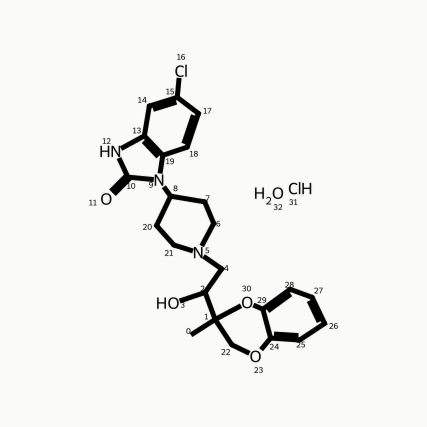 CC1(C(O)CN2CCC(n3c(=O)[nH]c4cc(Cl)ccc43)CC2)COc2ccccc2O1.Cl.O